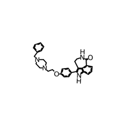 O=C1NCCc2c(-c3ccc(OCCN4CCN(Cc5ccccc5)CC4)cc3)[nH]c3cccc1c23